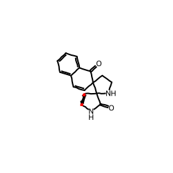 O=C1c2ccccc2C=CC12CCNC21C(=O)Nc2ccccc21